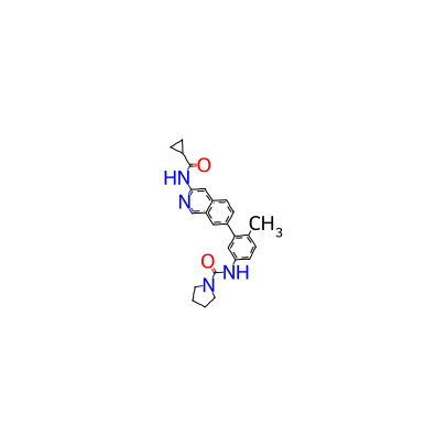 Cc1ccc(NC(=O)N2CCCC2)cc1-c1ccc2cc(NC(=O)C3CC3)ncc2c1